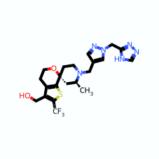 C[C@H]1C[C@@]2(CCN1Cc1cnn(Cc3nnc[nH]3)c1)OCCc1c2sc(C(F)(F)F)c1CO